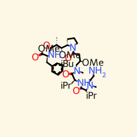 CC[C@H](C)[C@@H]([C@@H](CC(=O)N1CCC[C@H]1[C@H](OC)[C@@H](C)C(=O)N[C@@H](Cc1ccccc1)C(=O)OC)OC)N(C)C(=O)[C@@H](NC(=O)[C@H](C(C)C)N(C)CCN)C(C)C